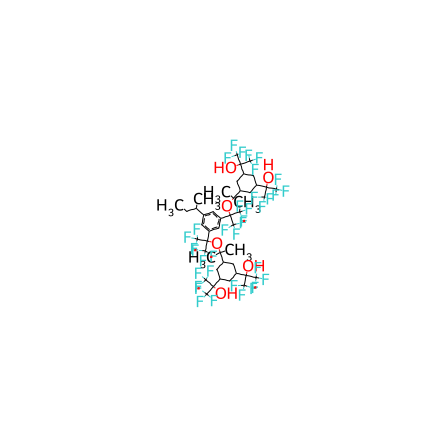 CCC(C)c1cc(C(OC(C)(C)C2CC(C(O)(C(F)(F)F)C(F)(F)F)CC(C(O)(C(F)(F)F)C(F)(F)F)C2)(C(F)(F)F)C(F)(F)F)cc(C(OC(C)(C)C2CC(C(O)(C(F)(F)F)C(F)(F)F)CC(C(O)(C(F)(F)F)C(F)(F)F)C2)(C(F)(F)F)C(F)(F)F)c1